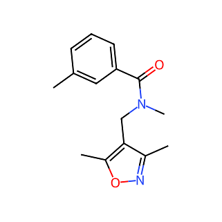 Cc1cccc(C(=O)N(C)Cc2c(C)noc2C)c1